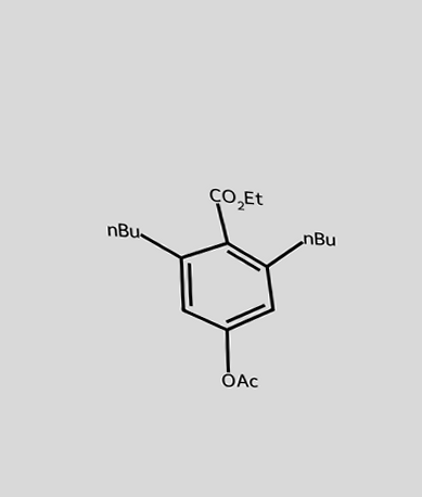 CCCCc1cc(OC(C)=O)cc(CCCC)c1C(=O)OCC